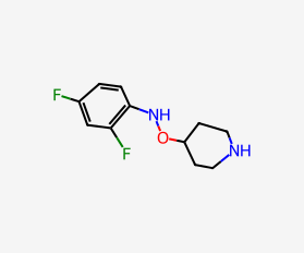 Fc1ccc(NOC2CCNCC2)c(F)c1